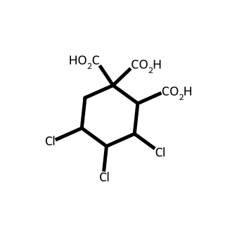 O=C(O)C1C(Cl)C(Cl)C(Cl)CC1(C(=O)O)C(=O)O